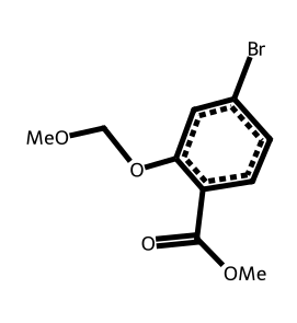 COCOc1cc(Br)ccc1C(=O)OC